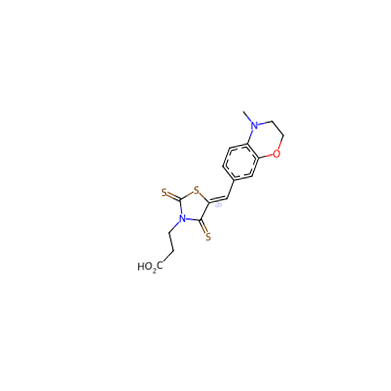 CN1CCOc2cc(/C=C3\SC(=S)N(CCC(=O)O)C3=S)ccc21